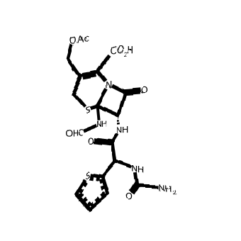 CC(=O)OCC1=C(C(=O)O)N2C(=O)[C@H](NC(=O)C(NC(N)=O)c3cccs3)C2(NC=O)SC1